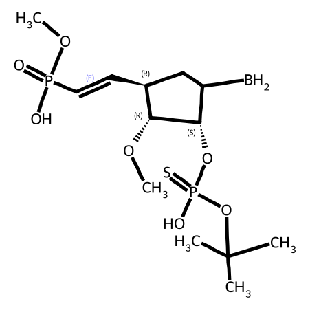 BC1C[C@H](/C=C/P(=O)(O)OC)[C@@H](OC)[C@H]1OP(O)(=S)OC(C)(C)C